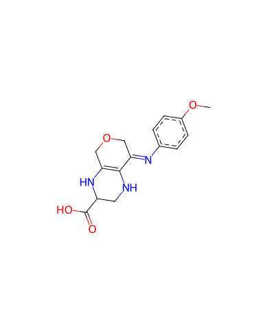 COc1ccc(/N=C2\COCC3=C2NCC(C(=O)O)N3)cc1